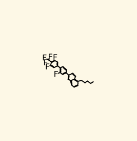 CCCCCc1cccc2cc(-c3ccc(-c4cc(F)c(C(F)(F)F)c(F)c4)c(F)c3)ccc12